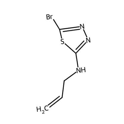 C=CCNc1nnc(Br)s1